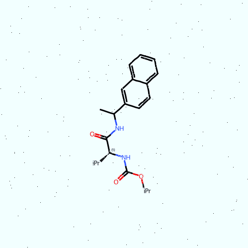 CC(C)OC(=O)N[C@H](C(=O)NC(C)c1ccc2ccccc2c1)C(C)C